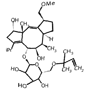 C=CC(C)(C)OC[C@H]1O[C@H](O[C@@H]2C3=C(C(C)C)C[C@H](O)[C@]3(C)/C=C3/[C@@H](COC)CC[C@H]3[C@@H](C)[C@H]2O)C(O)C(O)C1O